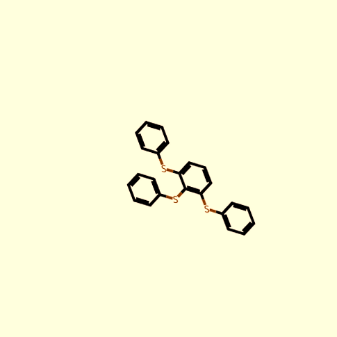 c1ccc(Sc2cccc(Sc3ccccc3)c2Sc2ccccc2)cc1